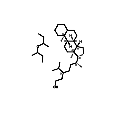 CC(C)[C@H](CCO)CC[C@@H](C)[C@H]1CC[C@H]2[C@@H]3CCC4CCCC[C@]4(C)[C@H]3CC[C@]12C.CCC(C)OC(C)CC